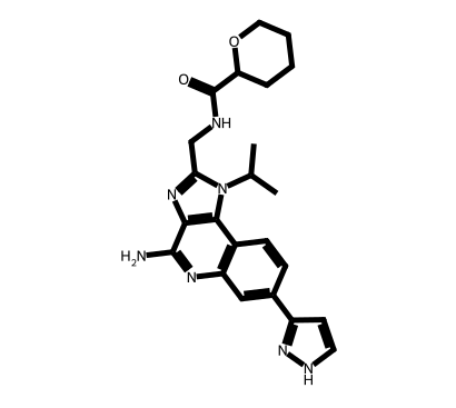 CC(C)n1c(CNC(=O)C2CCCCO2)nc2c(N)nc3cc(-c4cc[nH]n4)ccc3c21